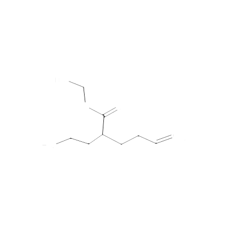 C=CCCC(CCC)C(=O)OCC